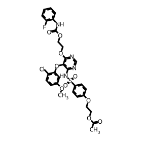 COc1ccc(Cl)c(Oc2c(NS(=O)(=O)c3ccc(OCCOC(C)=O)cc3)ncnc2OCCOC(=O)Nc2ccccc2F)c1